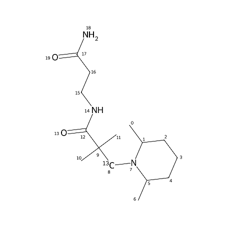 CC1CCCC(C)N1[13CH2]C(C)(C)C(=O)NCCC(N)=O